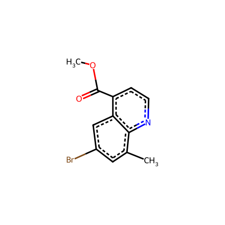 COC(=O)c1ccnc2c(C)cc(Br)cc12